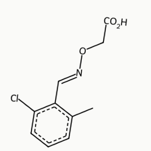 Cc1cccc(Cl)c1C=NOCC(=O)O